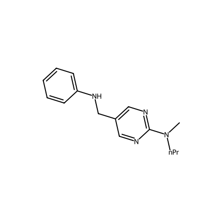 CCCN(C)c1ncc(CNc2ccccc2)cn1